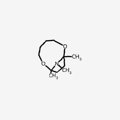 CN1C2(C)CCC1(C)OCCCCO2